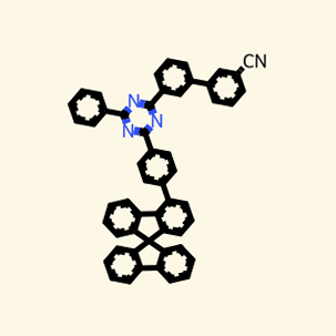 N#Cc1cccc(-c2cccc(-c3nc(-c4ccccc4)nc(-c4ccc(-c5cccc6c5-c5ccccc5C65c6ccccc6-c6ccccc65)cc4)n3)c2)c1